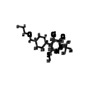 CCCOCC1CCC(c2c(SC)nn(C(C)(C)C)c(=O)c2Cl)CC1